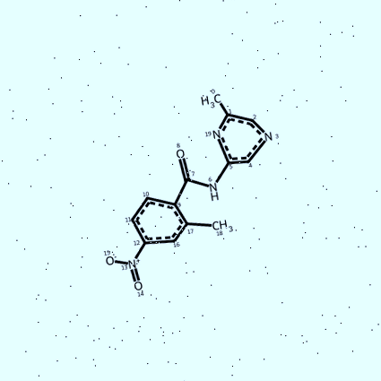 Cc1cncc(NC(=O)c2ccc([N+](=O)[O-])cc2C)n1